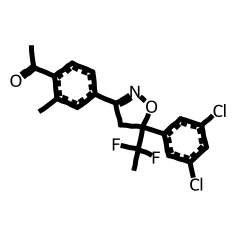 CC(=O)c1ccc(C2=NOC(c3cc(Cl)cc(Cl)c3)(C(C)(F)F)C2)cc1C